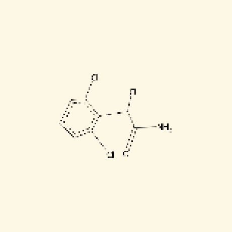 NC(=O)C(Cl)c1c(Cl)cccc1Cl